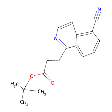 CC(C)(C)OC(=O)CCc1nccc2c(C#N)cccc12